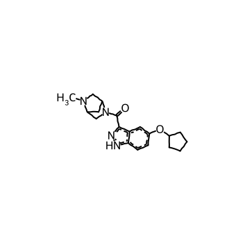 CN1CC2CC1CN2C(=O)c1n[nH]c2ccc(OC3CCCC3)cc12